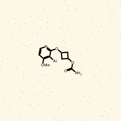 COc1ccnc(OC2CC(OC(N)=O)C2)c1C(C)=O